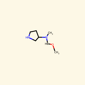 COBN(C)C1CCNC1